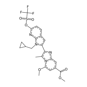 COC(=O)c1cc(OC)n2c(C)c(-c3cc4ccc(OS(=O)(=O)C(F)(F)F)nc4n3CC3CC3)nc2c1